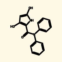 O=C(c1[nH]c(O)cc1O)N(c1ccccc1)c1ccccc1